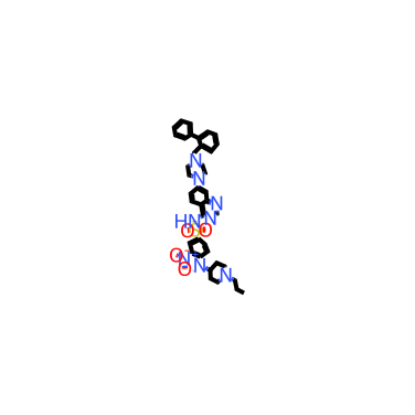 CCCN1CCC(N(C)c2ccc(S(=O)(=O)Nc3ncnc4cc(N5CCN(Cc6ccccc6-c6ccccc6)CC5)ccc34)cc2[N+](=O)[O-])CC1